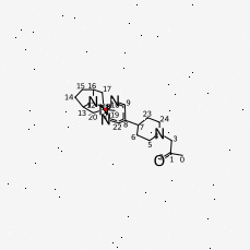 CC(=O)CN1CCC(c2cnc(N3C4CCC3CN(C)C4)nc2)CC1